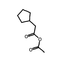 CC(=O)OC(=O)CC1CCCC1